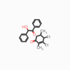 CCC1=C(C)C(=O)CC(C)C1CC.O=C(c1ccccc1)C(O)c1ccccc1